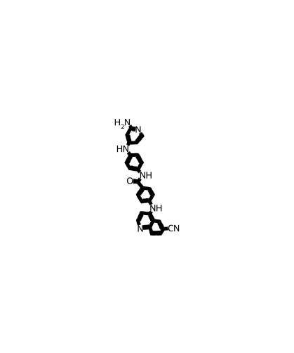 N#Cc1ccc2nccc(Nc3ccc(C(=O)Nc4ccc(Nc5ccnc(N)c5)cc4)cc3)c2c1